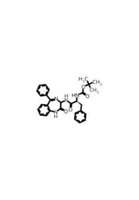 CC(C)(C)OC(=O)N[C@@H](Cc1ccccc1)C(=O)NC1N=C(c2ccccc2)c2ccccc2NC1=O